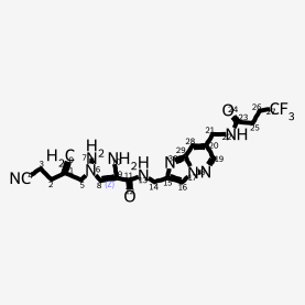 C=C(CCC#N)CN(N)/C=C(\N)C(=O)NCc1cn2ncc(CNC(=O)CCC(F)(F)F)cc2n1